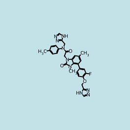 Cc1ccc(N(Cc2nnc[nH]2)C(=O)Cn2c(=O)n(C)c3c(-c4ccc(OCc5nnc[nH]5)c(F)c4)cc(C)cc32)cc1